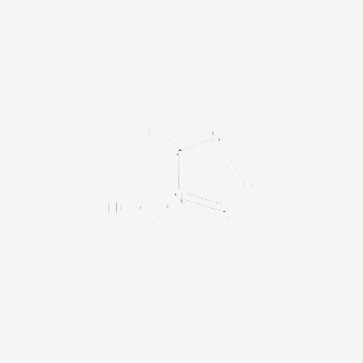 CC(=O)O.O=C1N=CC=N1